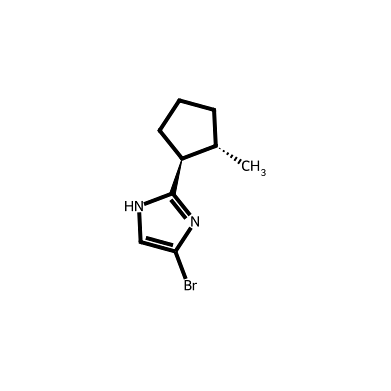 C[C@H]1CCC[C@@H]1c1nc(Br)c[nH]1